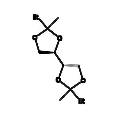 CCC1(C)OC[C@@H]([C@H]2COC(C)(CC)O2)O1